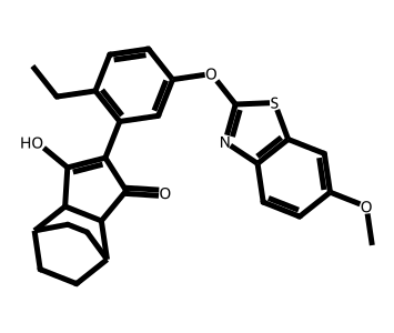 CCc1ccc(Oc2nc3ccc(OC)cc3s2)cc1C1=C(O)C2C3CCC(CC3)C2C1=O